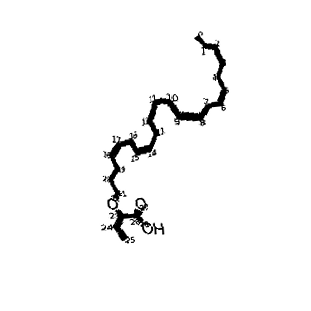 CC/C=C\C/C=C\C/C=C\C/C=C\C/C=C\C/C=C\CCCOC(CC)C(=O)O